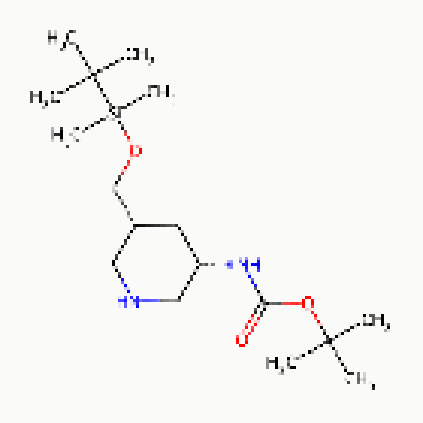 CC(C)(C)OC(=O)N[C@@H]1CNC[C@H](CO[Si](C)(C)C(C)(C)C)C1